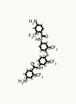 Nc1ccc(C(=O)Nc2ccc(Sc3ccc(NC(=O)c4ccc(N)cc4C(F)(F)F)cc3C(F)(F)F)c(C(F)(F)F)c2)c(C(F)(F)F)c1